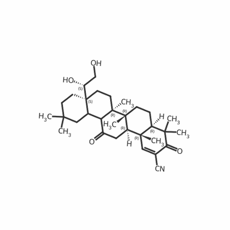 CC1(C)CC[C@]2([C@H](O)CO)CC[C@]3(C)C(C(=O)C[C@@H]4[C@@]5(C)C=C(C#N)C(=O)C(C)(C)[C@@H]5CC[C@]43C)C2C1